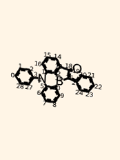 c1ccc(N2c3ccccc3B3c4c(cccc42)-c2oc4ccccc4c23)cc1